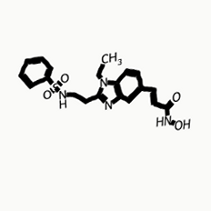 CCn1c(CCNS(=O)(=O)c2ccccc2)nc2cc(C=CC(=O)NO)ccc21